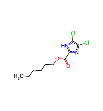 CCCCCCOC(=O)c1nc(Cl)c(Cl)[nH]1